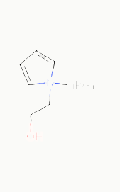 CCCCC[N+]1(CCO)C=CC=C1